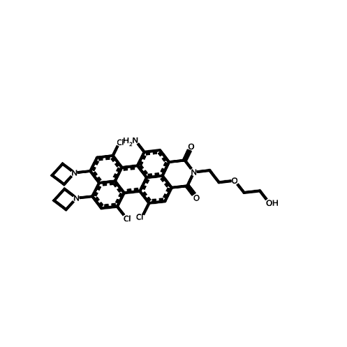 Nc1cc2c3c(cc(Cl)c4c5c(Cl)cc(N6CCC6)c6c(N7CCC7)cc(Cl)c(c1c34)c65)C(=O)N(CCOCCO)C2=O